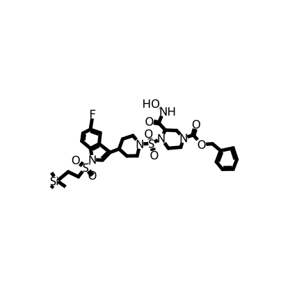 C[Si](C)(C)CCS(=O)(=O)n1cc(C2CCN(S(=O)(=O)N3CCN(C(=O)OCc4ccccc4)CC3C(=O)NO)CC2)c2cc(F)ccc21